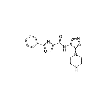 O=C(Nc1cnsc1N1CCNCC1)c1coc(-c2ccccc2)n1